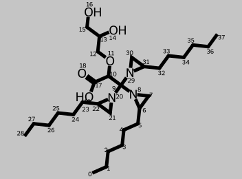 CCCCCCC1CN1C(C(OCC(O)CO)C(=O)O)(N1CC1CCCCCC)N1CC1CCCCCC